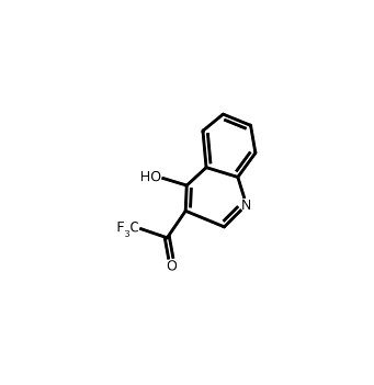 O=C(c1cnc2ccccc2c1O)C(F)(F)F